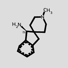 CN1CCC2(CC1)Cc1ccccc1[C@H]2N